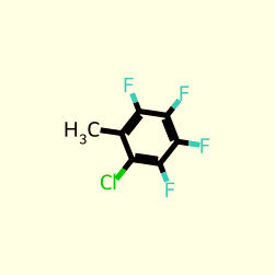 Cc1c(F)c(F)c(F)c(F)c1Cl